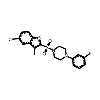 Cc1c(S(=O)(=O)N2CCN(c3cccc(F)c3)CC2)sc2ccc(Cl)cc12